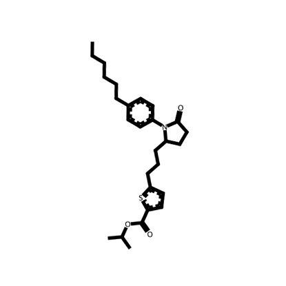 CCCCCCc1ccc(N2C(=O)CCC2CCCc2ccc(C(=O)OC(C)C)s2)cc1